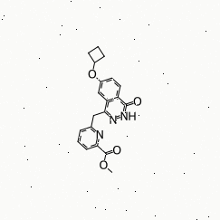 COC(=O)c1cccc(Cc2n[nH]c(=O)c3ccc(OC4CCC4)cc23)n1